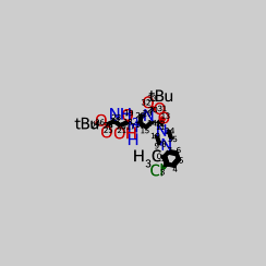 Cc1c(Cl)cccc1N1CCN(C(=O)[C@@H]2CC(NC(=O)C(O)C(N)C(=O)OC(C)(C)C)CN2C(=O)OC(C)(C)C)CC1